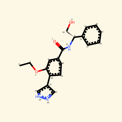 CCOc1cc(C(=O)N[C@H](CO)c2ccccc2)ccc1-c1cn[nH]c1